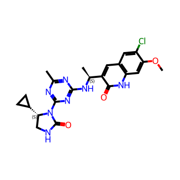 COc1cc2[nH]c(=O)c([C@H](C)Nc3nc(C)nc(N4C(=O)NC[C@@H]4C4CC4)n3)cc2cc1Cl